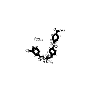 CC(C)(Cc1ccc(S(=O)(=O)c2ccc(C(=O)O)cc2)cc1)NC[C@H](O)c1cccc(Cl)c1.Cl